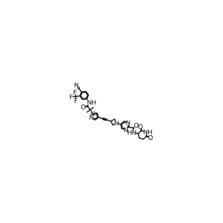 CC(C)(C(=O)Nc1ccc(C#N)c(C(F)(F)F)c1)n1cc(C#CC2CN(c3cnc(C(=O)NC4CCC(=O)NC4=O)nc3)C2)cn1